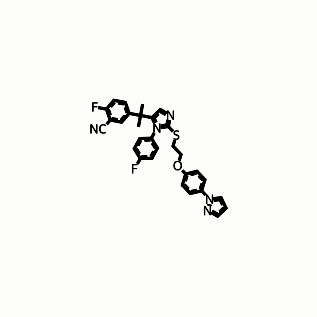 CC(C)(c1ccc(F)c(C#N)c1)c1cnc(SCCOc2ccc(-n3cccn3)cc2)n1-c1ccc(F)cc1